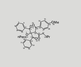 CCCCCOC(C(=O)c1ccccc1)(C(=O)c1ccccc1)C(C(=O)CC(C)C)C(=O)c1ccc(OC)cc1